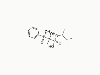 CCC(C)OP(=O)(O)C(C)(O)P(=O)(O)c1ccccc1